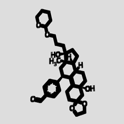 C[C@]12C[C@H](c3ccc(C=O)cc3)C3=C4CCC5(C[C@]4(O)CC[C@H]3[C@@H]1CC[C@@]2(O)CCCOC1CCCCO1)OCCO5